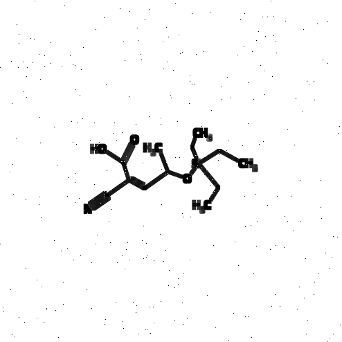 CC[Si](CC)(CC)OC(C)C=C(C#N)C(=O)O